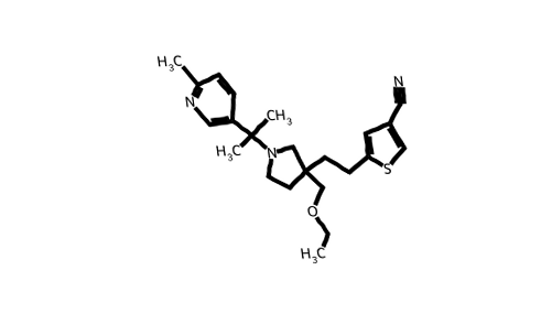 CCOCC1(CCc2cc(C#N)cs2)CCN(C(C)(C)c2ccc(C)nc2)C1